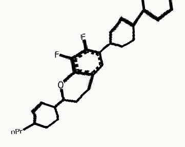 CCCC1CCC(C2CCc3cc(C4CCC(C5CCC(CC)CC5)CC4)c(F)c(F)c3O2)CC1